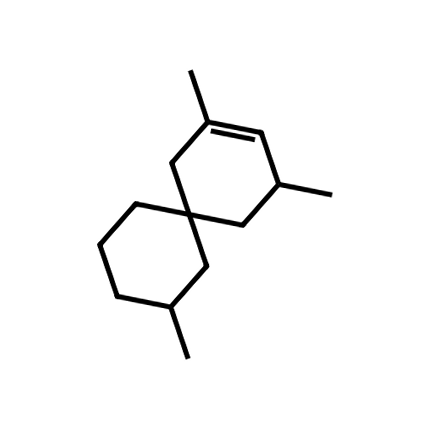 CC1=CC(C)CC2(CCCC(C)C2)C1